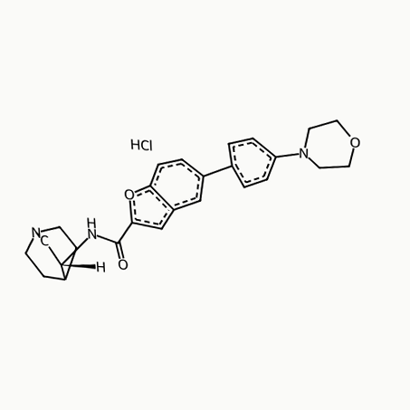 Cl.O=C(N[C@H]1CN2CCC1CC2)c1cc2cc(-c3ccc(N4CCOCC4)cc3)ccc2o1